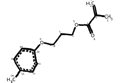 C=C(C)C(=O)OCCCOc1ccc(C)cc1